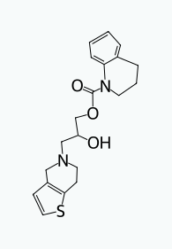 O=C(OCC(O)CN1CCc2sccc2C1)N1CCCc2ccccc21